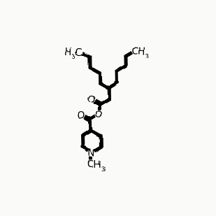 CCCCCC(CCCCC)CC(=O)OC(=O)C1CCN(C)CC1